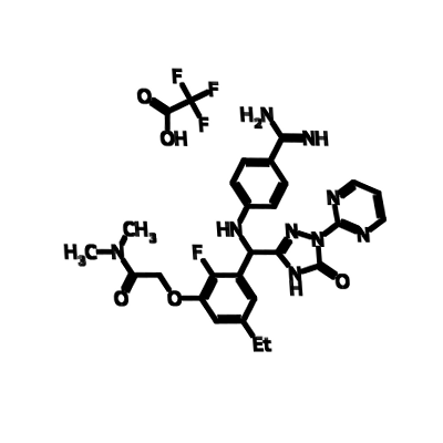 CCc1cc(OCC(=O)N(C)C)c(F)c(C(Nc2ccc(C(=N)N)cc2)c2nn(-c3ncccn3)c(=O)[nH]2)c1.O=C(O)C(F)(F)F